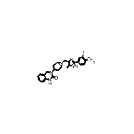 Cc1[nH]c(-c2ccc(C(F)(F)F)c(F)c2)nc1CN1CCC(N2Cc3ccccc3NC2=O)CC1